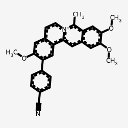 COc1cc2cc3c4cc(-c5ccc(C#N)cc5)c(OC)cc4cc[n+]3c(C)c2cc1OC